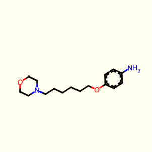 Nc1ccc(OCCCCCCN2CCOCC2)cc1